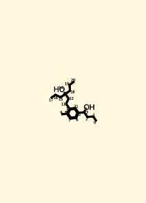 CCCC(O)c1ccc(C)c(CCC(O)(CCC)CCC)c1